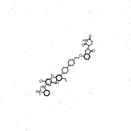 CCc1cc(Nc2ncc(Cl)c(Nc3ccccc3P(C)(C)=O)n2)c(OC)cc1N1CCC(N2CCN(CCOc3cccc4c3CN(C3CCC(=O)NC3=O)C4=O)CC2)CC1